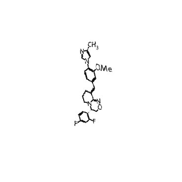 COc1cc(/C=C2\CCCN3C2=NOC[C@@H]3c2ccc(F)cc2F)ccc1-n1cnc(C)c1